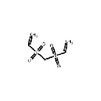 C=CS(=O)(=O)[CH]S(=O)(=O)C=C